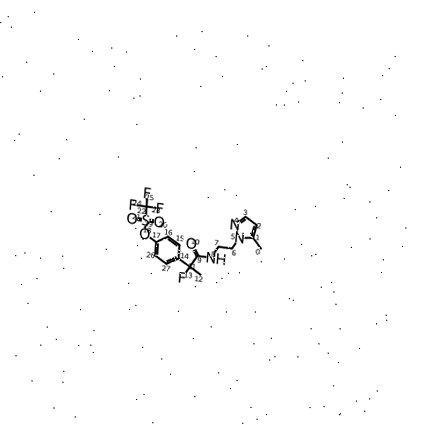 Cc1ccnn1CCNC(=O)C(C)(F)c1ccc(OS(=O)(=O)C(F)(F)F)cc1